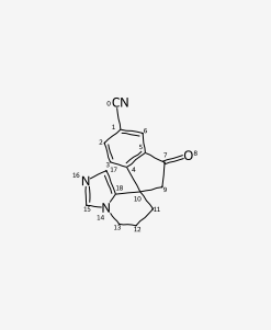 N#Cc1ccc2c(c1)C(=O)CC21CCCn2cncc21